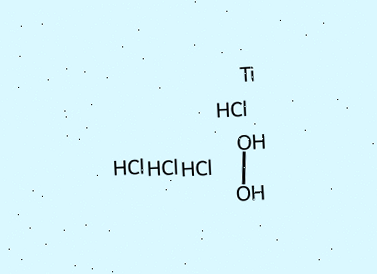 Cl.Cl.Cl.Cl.OO.[Ti]